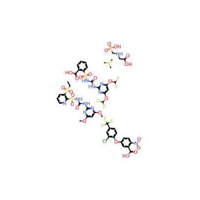 CCS(=O)(=O)c1cccnc1S(=O)(=O)NC(=O)Nc1nc(OC)cc(OC)n1.C[S+](C)C.O=C(Nc1nc(OC(F)F)cc(OC(F)F)n1)NS(=O)(=O)c1ccccc1C(=O)O.O=C(O)CNCP(=O)([O-])O.O=C(O)c1cc(Oc2ccc(C(F)(F)F)cc2Cl)ccc1[N+](=O)[O-]